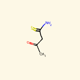 CC(=O)CC(N)=S